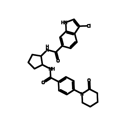 O=C(NC1CCCC1NC(=O)c1ccc2c(Cl)c[nH]c2c1)c1ccc(N2CCCCC2=O)cc1